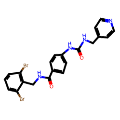 O=C(NCc1ccncc1)Nc1ccc(C(=O)NCc2c(Br)cccc2Br)cc1